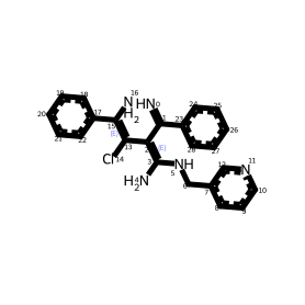 N=C(C(=C(/N)NCc1cccnc1)/C(Cl)=C(\N)c1ccccc1)c1ccccc1